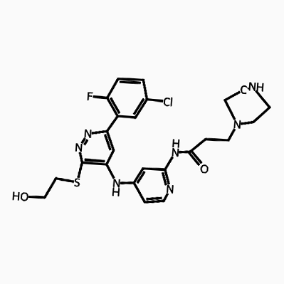 O=C(CCN1CCNCC1)Nc1cc(Nc2cc(-c3cc(Cl)ccc3F)nnc2SCCO)ccn1